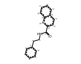 O=C(NCCc1ccccc1)c1ccc2ccccc2n1